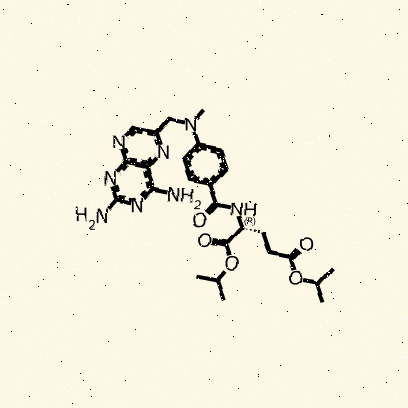 CC(C)OC(=O)CC[C@@H](NC(=O)c1ccc(N(C)Cc2cnc3nc(N)nc(N)c3n2)cc1)C(=O)OC(C)C